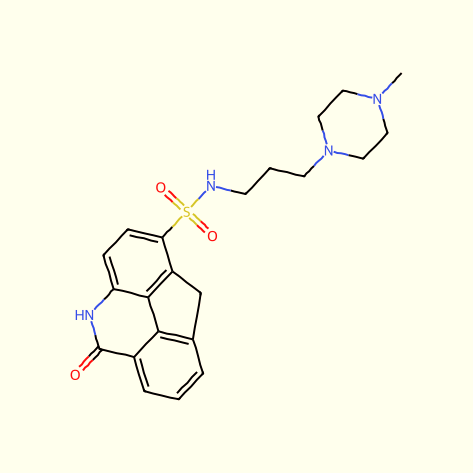 CN1CCN(CCCNS(=O)(=O)c2ccc3[nH]c(=O)c4cccc5c4c3c2C5)CC1